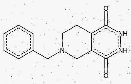 O=c1[nH][nH]c(=O)c2c1CCN(Cc1ccccc1)C2